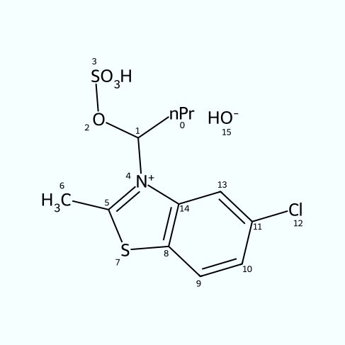 CCCC(OS(=O)(=O)O)[n+]1c(C)sc2ccc(Cl)cc21.[OH-]